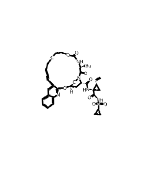 C=C[C@@H]1C[C@]1(NC(=O)[C@@H]1C[C@@H]2CN1C(=O)[C@H](C(C)(C)C)NC(=O)OCCCCC/C=C/c1cc3ccccc3nc1O2)C(=O)NS(=O)(=O)C1CC1